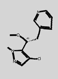 CO[C@H](Cc1cccnc1)c1c(Cl)cnn1C